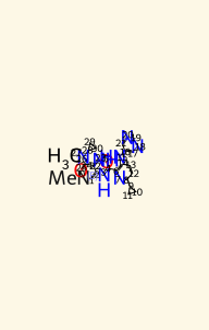 CN/C=C(/NC(=O)c1nc(C2CC2)ccc1Nc1cncnc1)C(=N)C(=O)N(C)C1CC1